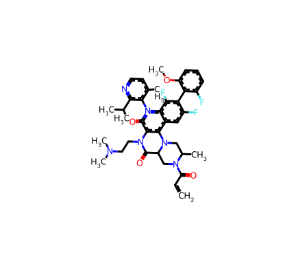 C=CC(=O)N1CC2C(=O)N(CCN(C)C)c3c(c4cc(F)c(-c5c(F)cccc5OC)c(F)c4n(-c4c(C)ccnc4C(C)C)c3=O)N2CC1C